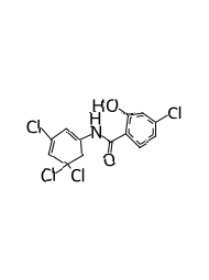 O=C(NC1=CC(Cl)=CC(Cl)(Cl)C1)c1ccc(Cl)cc1O